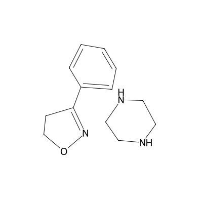 C1CNCCN1.c1ccc(C2=NOCC2)cc1